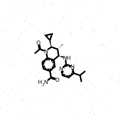 CC(=O)N1c2ccc(C(N)=O)cc2[C@H](Nc2nccc(C(C)C)n2)[C@@H](C)[C@@H]1C1CC1